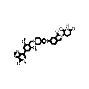 COc1cc(-c2cn(C)c(=O)c3scnc23)cc(OC)c1CN1CCC2(CC1)CN(c1ccc3c(c1)C(=O)N(C1CCC(=O)NC1=O)C3)C2